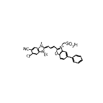 CCN1C(=CC=Cc2oc3ccc(-c4ccccc4)cc3[n+]2CS(=O)(=O)O)N(C)c2cc(C#N)c(Cl)cc21